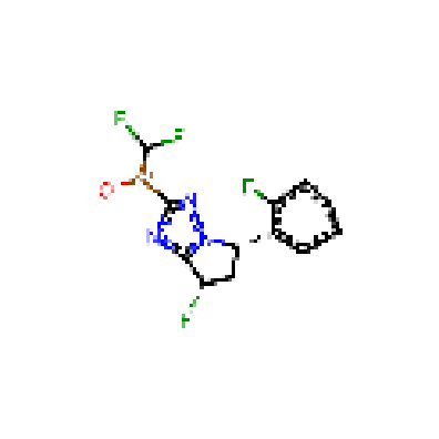 [O-][S+](c1nc2n(n1)[C@H](c1ccccc1F)C[C@@H]2F)C(F)F